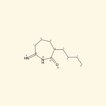 CCCCC1CCCC(=N)NC1=O